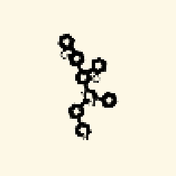 c1ccc(-c2cc(-c3ccc(-c4ccc5c(c4)oc4ccccc45)c4c3oc3ccccc34)nc(-c3cccc(-c4ccncc4)c3)n2)cc1